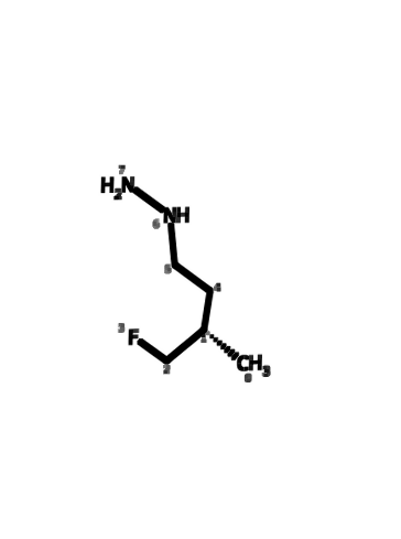 C[C@H](CF)CCNN